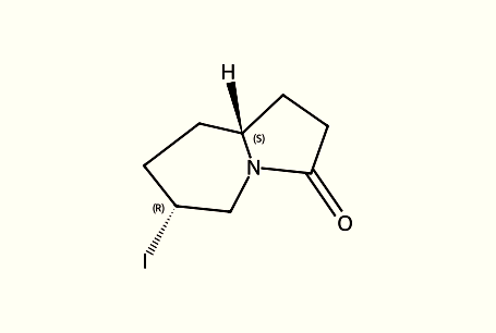 O=C1CC[C@H]2CC[C@@H](I)CN12